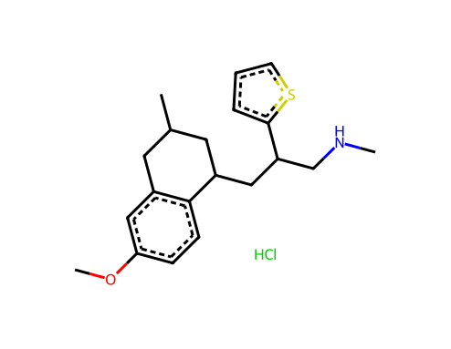 CNCC(CC1CC(C)Cc2cc(OC)ccc21)c1cccs1.Cl